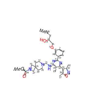 CNCC(O)COc1cccc(-c2nc(NCN3CCC4(CC3)CN(C(=O)OC)C4)c(C)c(-c3c(C)noc3C)n2)c1